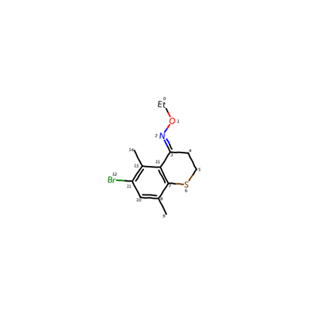 CCON=C1CCSc2c(C)cc(Br)c(C)c21